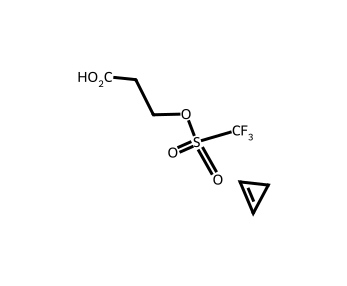 C1=CC1.O=C(O)CCOS(=O)(=O)C(F)(F)F